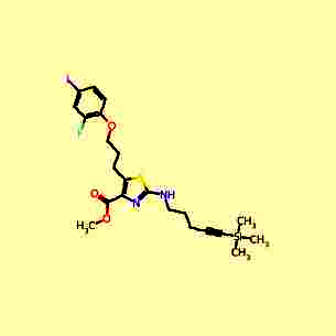 COC(=O)c1nc(NCCCC#C[Si](C)(C)C)sc1CCCOc1ccc(I)cc1F